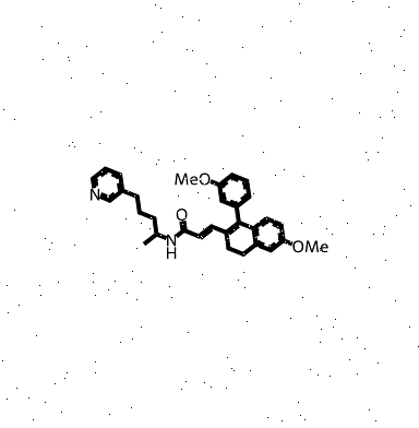 COc1cccc(C2=C(/C=C/C(=O)NC(C)CCCc3cccnc3)CCc3cc(OC)ccc32)c1